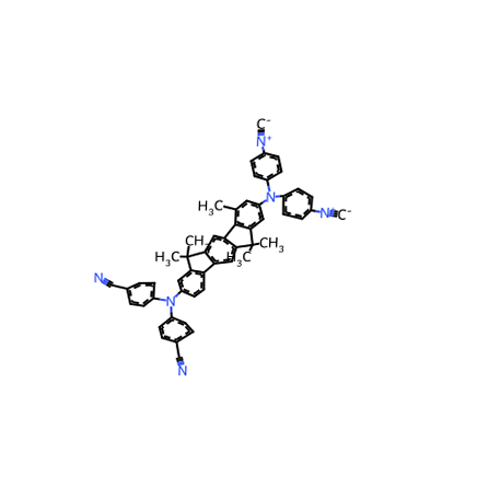 [C-]#[N+]c1ccc(N(c2ccc([N+]#[C-])cc2)c2cc(C)c3c(c2)C(C)(C)c2cc4c(cc2-3)C(C)(C)c2cc(N(c3ccc(C#N)cc3)c3ccc(C#N)cc3)ccc2-4)cc1